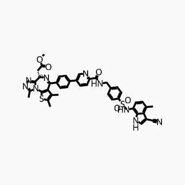 COC(=O)C[C@@H]1N=C(c2ccc(-c3ccc(C(=O)NCc4ccc(S(=O)(=O)Nc5ccc(C)c6c(C#N)c[nH]c56)cc4)nc3)cc2)c2c(sc(C)c2C)-n2c(C)nnc21